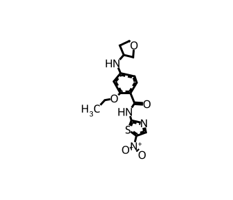 CCOc1cc(NC2CCOC2)ccc1C(=O)Nc1ncc([N+](=O)[O-])s1